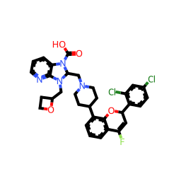 O=C(O)N1c2cccnc2N(CC2CCO2)C1CN1CCC(c2cccc3c2OC(c2ccc(Cl)cc2Cl)C=C3F)CC1